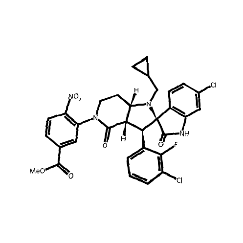 COC(=O)c1ccc([N+](=O)[O-])c(N2CC[C@H]3[C@@H](C2=O)[C@H](c2cccc(Cl)c2F)[C@]2(C(=O)Nc4cc(Cl)ccc42)N3CC2CC2)c1